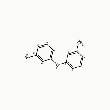 FC(F)(F)c1cccc(Oc2cccc(Br)c2)c1